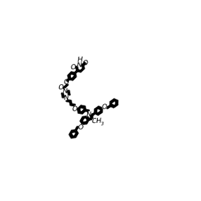 Cc1c(-c2ccc(OCc3ccccc3)cc2)n(Cc2ccc(OCCCCN3CCN(C(=O)COc4ccc(C5CCC(=O)NC5=O)cc4)CC3)cc2)c2ccc(OCc3ccccc3)cc12